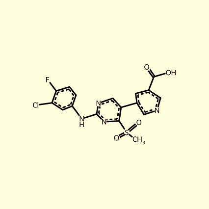 CS(=O)(=O)c1nc(Nc2ccc(F)c(Cl)c2)ncc1-c1cncc(C(=O)O)c1